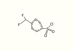 O=S(=O)(Cl)c1ccc(C(F)F)cc1